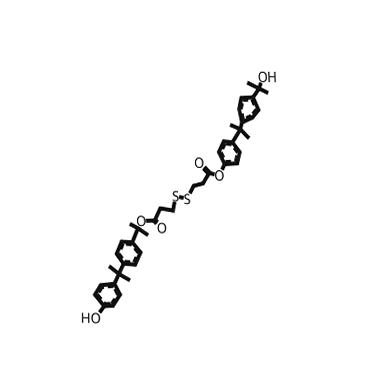 CC(C)(O)c1ccc(C(C)(C)c2ccc(OC(=O)CCSSCCC(=O)OC(C)(C)c3ccc(C(C)(C)c4ccc(O)cc4)cc3)cc2)cc1